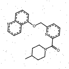 CC1CCN(C(=O)c2cccc(COc3cccc4ncccc34)n2)CC1